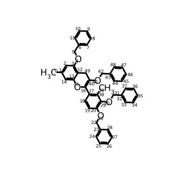 Cc1cc(OCc2ccccc2)c2c(c1)OC(c1ccc(OCc3ccccc3)c(OCc3ccccc3)c1C)=C(OCc1ccccc1)C2